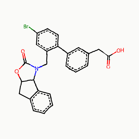 O=C(O)Cc1cccc(-c2ccc(Br)cc2CN2C(=O)OC3Cc4ccccc4C32)c1